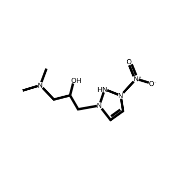 CN(C)CC(O)CN1C=CN([N+](=O)[O-])N1